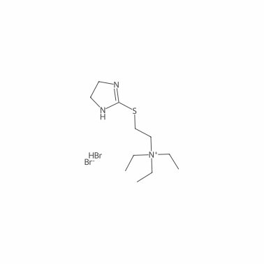 Br.CC[N+](CC)(CC)CCSC1=NCCN1.[Br-]